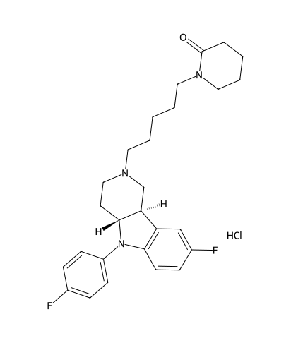 Cl.O=C1CCCCN1CCCCCN1CC[C@@H]2[C@@H](C1)c1cc(F)ccc1N2c1ccc(F)cc1